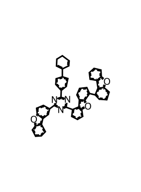 C1=CC(c2ccc(-c3nc(-c4ccc5oc6ccccc6c5c4)nc(-c4cccc5oc6c(-c7cccc8oc9ccccc9c78)cccc6c45)n3)cc2)=CCC1